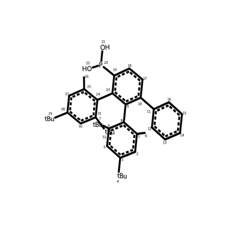 Cc1cc(C(C)(C)C)cc(C(C)(C)C)c1-c1c(-c2ccccc2)ccc(P(O)O)c1-c1c(C)cc(C(C)(C)C)cc1C(C)(C)C